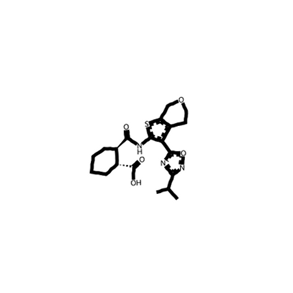 CC(C)c1noc(-c2c(NC(=O)[C@@H]3CCCC[C@H]3C(=O)O)sc3c2CCOC3)n1